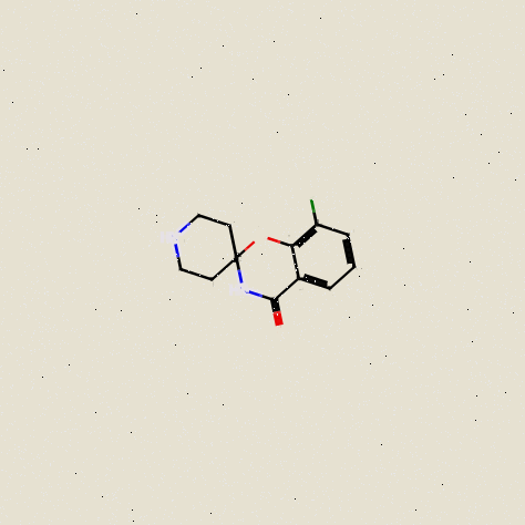 O=C1NC2(CCNCC2)Oc2c(Cl)cccc21